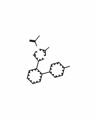 CC(=O)n1cc(-c2ccccc2-c2ccc(Cl)cc2)nc1Cl